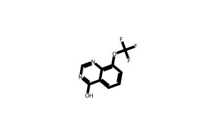 Oc1ncnc2c(OC(F)(F)F)cccc12